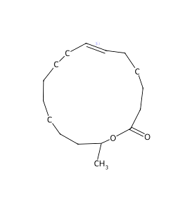 CC1CCCCCCC/C=C/CCCCC(=O)O1